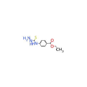 CCOC(=O)c1ccc(NC(=S)NN)cc1